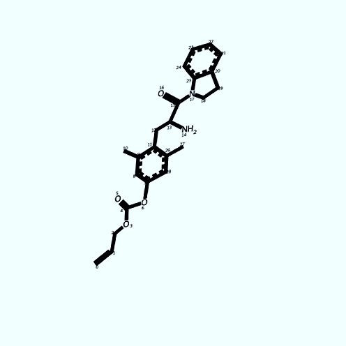 C=CCOC(=O)Oc1cc(C)c(CC(N)C(=O)N2CCc3ccccc32)c(C)c1